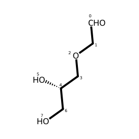 O=CCOC[C@@H](O)CO